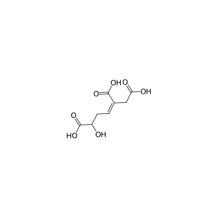 O=C(O)C/C(=C/CC(O)C(=O)O)C(=O)O